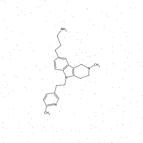 Cc1ccc(CCn2c3c(c4cc(CCCN)ccc42)CN(C)CC3)cn1